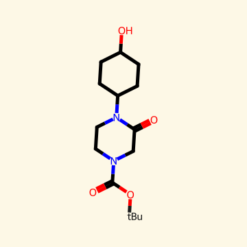 CC(C)(C)OC(=O)N1CCN(C2CCC(O)CC2)C(=O)C1